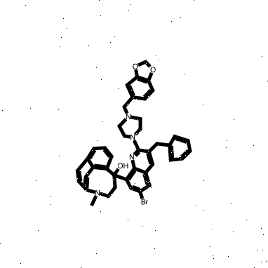 CN1CCC(O)(c2cc(Br)cc3cc(Cc4ccccc4)c(N4CCN(Cc5ccc6c(c5)OCO6)CC4)nc23)c2cccc3ccc1cc23